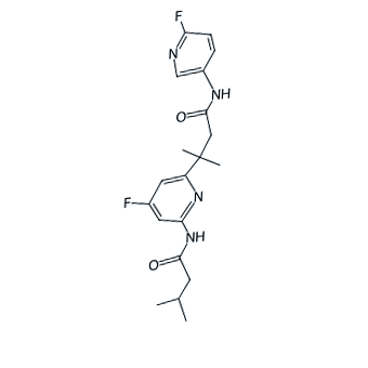 CC(C)CC(=O)Nc1cc(F)cc(C(C)(C)CC(=O)Nc2ccc(F)nc2)n1